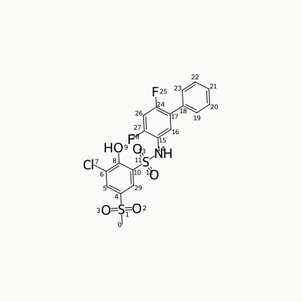 CS(=O)(=O)c1cc(Cl)c(O)c(S(=O)(=O)Nc2cc(-c3ccccc3)c(F)cc2F)c1